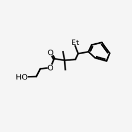 CCC(CC(C)(C)C(=O)OCCO)c1ccccc1